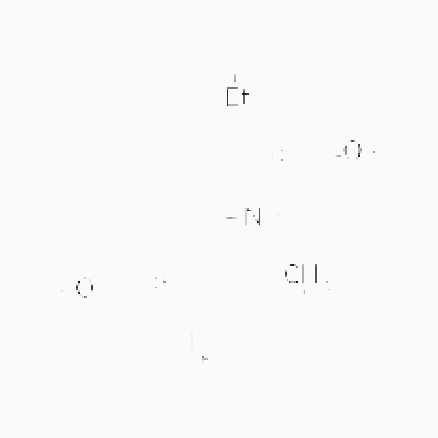 CCC(=O)N(C)CC(=O)I